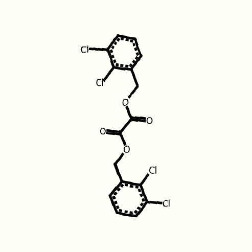 O=C(OCc1cccc(Cl)c1Cl)C(=O)OCc1cccc(Cl)c1Cl